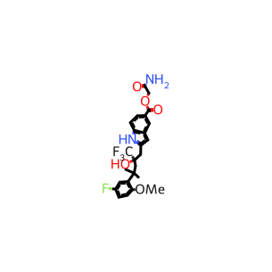 COc1ccc(F)cc1C(C)(C)CC(O)(Cc1cc2cc(C(=O)OCC(N)=O)ccc2[nH]1)C(F)(F)F